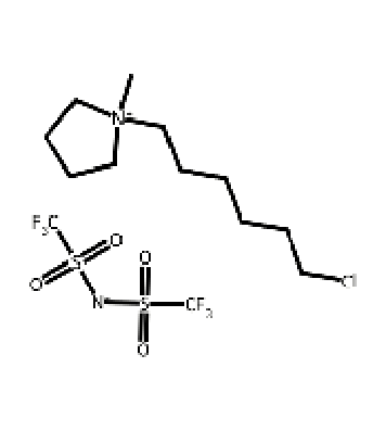 C[N+]1(CCCCCCCl)CCCC1.O=S(=O)([N-]S(=O)(=O)C(F)(F)F)C(F)(F)F